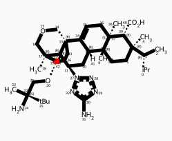 CC(C)[C@@H](C)[C@@]1(C)CC[C@]2(C)[C@H]3CC[C@@H]4[C@@]5(COC[C@]4(C)[C@@H](OC[C@@](C)(N)C(C)(C)C)[C@H](n4nnc(N)n4)C5)C3=CC[C@@]2(C)[C@@H]1C(=O)O